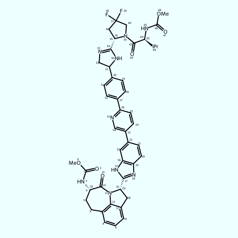 COC(=O)N[C@H]1CCc2cccc3c2N(C1=O)[C@H](c1nc2ccc(-c4ccc(-c5ccc(C6CN=C([C@@H]7CC(F)(F)CN7C(=O)[C@@H](NC(=O)OC)C(C)C)N6)cc5)nc4)cc2[nH]1)C3